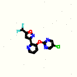 FC(F)c1cc(-c2ncccc2Oc2ncc(Cl)cn2)no1